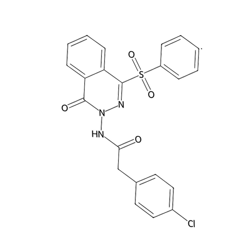 O=C(Cc1ccc(Cl)cc1)Nn1nc(S(=O)(=O)c2cc[c]cc2)c2ccccc2c1=O